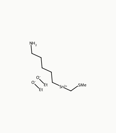 CC[O-].CC[O-].CS[CH2][Sn+2][CH2]CCCCN